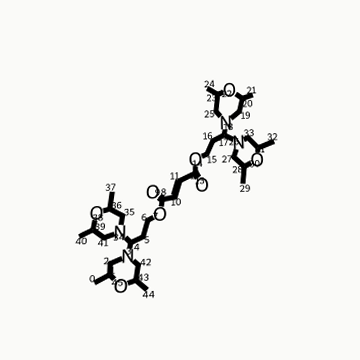 CC1CN(C(CCOC(=O)/C=C/C(=O)OCCC(N2CC(C)OC(C)C2)N2CC(C)OC(C)C2)N2CC(C)OC(C)C2)CC(C)O1